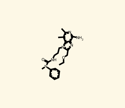 CCOCc1nc2c(N)nc(C)c(C)c2n1CCCNC(=O)N(C)c1ccccc1